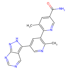 Cc1cc(C(N)=O)cnc1-c1cc(-c2[nH]nc3ncncc23)cnc1C